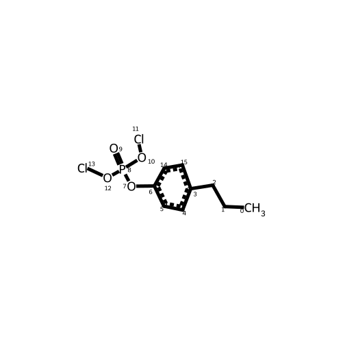 CCCc1ccc(OP(=O)(OCl)OCl)cc1